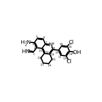 N=Cc1c(N)ccc2nc(-c3cc(Cl)c(O)c(Cl)c3)c3c(c12)CCCC3